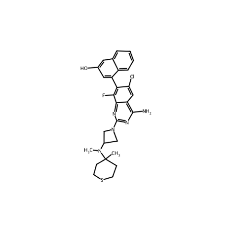 CN(C1CN(c2nc(N)c3cc(Cl)c(-c4cc(O)cc5ccccc45)c(F)c3n2)C1)C1(C)CCSCC1